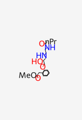 CCCC(=O)NCCNCC(O)COc1ccccc1CC(=O)OC